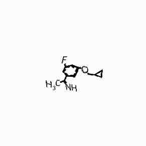 CC(=N)c1cc(F)cc(OCC2CC2)c1